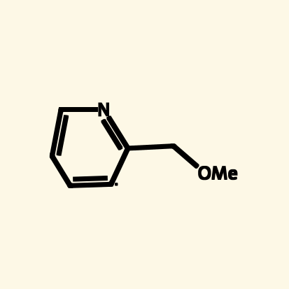 COCc1[c]cccn1